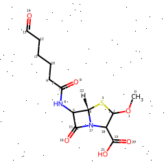 COC1S[C@H]2C(NC(=O)CCCCC=O)C(=O)N2C1C(=O)O